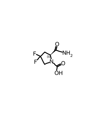 NC(=O)[C@@H]1CC(F)(F)CN1C(=O)O